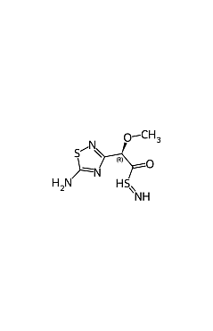 CO[C@@H](C(=O)[SH]=N)c1nsc(N)n1